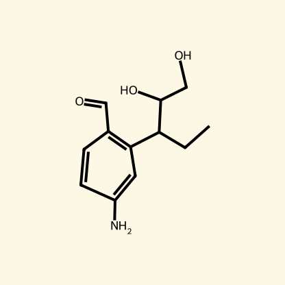 CCC(c1cc(N)ccc1C=O)C(O)CO